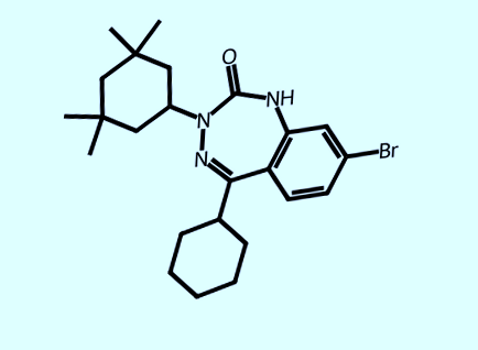 CC1(C)CC(N2N=C(C3CCCCC3)c3ccc(Br)cc3NC2=O)CC(C)(C)C1